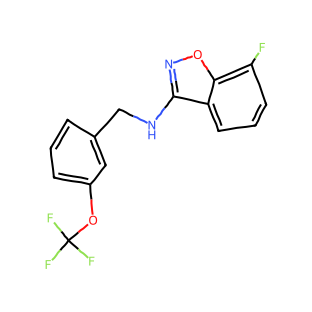 Fc1cccc2c(NCc3cccc(OC(F)(F)F)c3)noc12